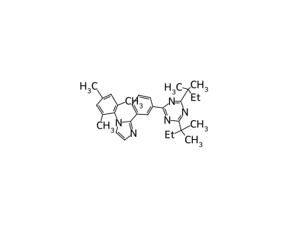 CCC(C)(C)c1nc(-c2cccc(-c3nccn3-c3c(C)cc(C)cc3C)c2)nc(C(C)(C)CC)n1